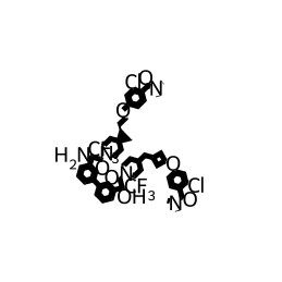 CN(C)C(=O)c1ccc(OCC[C@H]2CC23CCN(C(=O)C(N)(c2cccc(-c4cccc(C(O)(C(=O)N5CCC(CC6CC(Oc7ccc(C(=O)N(C)C)c(Cl)c7)C6)CC5)C(F)(F)F)c4)c2)C(F)(F)F)CC3)cc1Cl